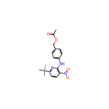 CC(=O)OCc1ccc(Nc2n[c]([Sn]([CH3])([CH3])[CH3])ccc2[N+](=O)[O-])cc1